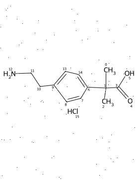 CC(C)(C(=O)O)c1ccc(CCN)cc1.Cl